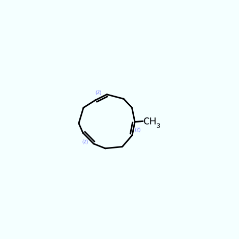 C/C1=C/CC/C=C\CC/C=C\CC1